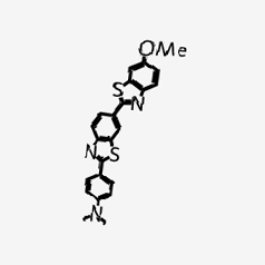 COc1ccc2nc(-c3ccc4nc(-c5ccc(N(C)C)cc5)sc4c3)sc2c1